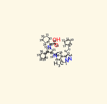 CCn1ncc(CCc2ccccc2)c1C1CCN(C[C@H]2CN([C@@H](C(=O)O)C3CCCCC3)C[C@@H]2c2ccccc2)CC1